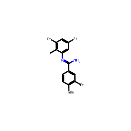 CCCCc1ccc(/C(N)=N/c2cc(CC)cc(CC)c2C)cc1CC